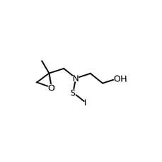 CC1(CN(CCO)SI)CO1